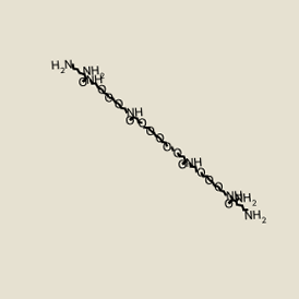 NCCCCC(N)C(=O)NCCCOCCOCCOCCCNC(=O)CCOCCOCCOCCOCCOCCC(=O)NCCCOCCOCCOCCCNC(=O)[C@@H](N)CCCCN